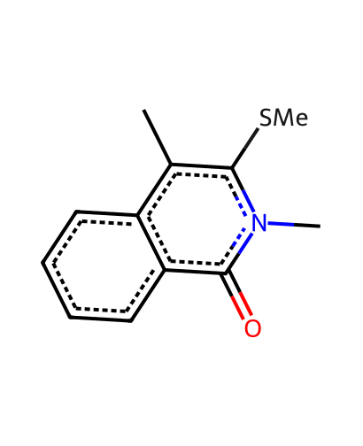 CSc1c(C)c2ccccc2c(=O)n1C